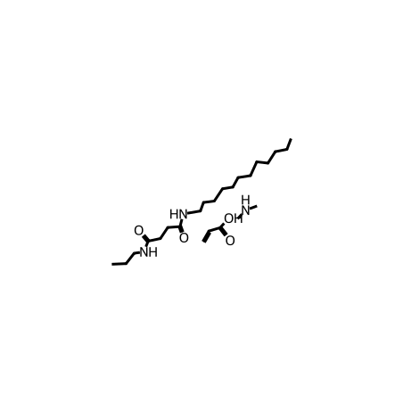 C=CC(=O)O.CCCCCCCCCCCCNC(=O)CCC(=O)NCCC.CNC